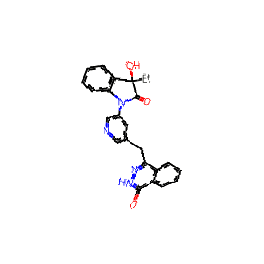 CCC1(O)C(=O)N(c2cncc(Cc3n[nH]c(=O)c4ccccc34)c2)c2ccccc21